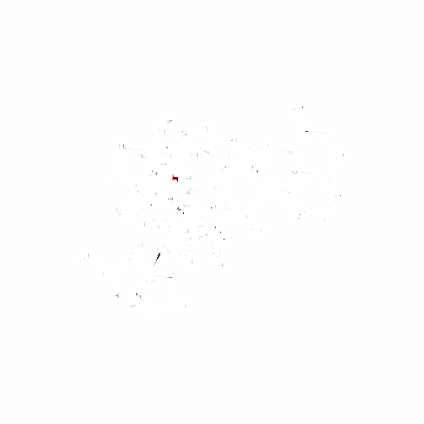 C#Cc1c(F)ccc2cccc(-c3nc4c5c(nc(OC[C@@]67CCCN6C[C@H](F)C7)nc5c3F)N3C[C@H]5CC[C@@H]([C@H]3CCC4)N5Cc3oc(=O)oc3C(C)(C)C)c12